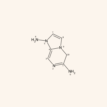 NC1=NC=C2N(N)C=CN2C1